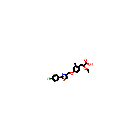 CCOC(=Cc1ccc(OCc2csc(-c3ccc(Cl)cc3)n2)cc1C)C(=O)O